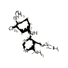 CON=Cc1c(N)ncnc1Nc1ccc(OC)c(Cl)c1